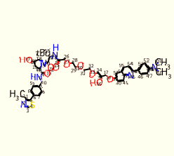 Cc1ncsc1-c1ccc(CNC(=O)[C@@H]2C[C@@H](O)CN2C(=O)C(NC(=O)COCCOCCOCC(O)COc2ccc3nc(-c4ccc(N(C)C)cc4)ccc3c2)C(C)(C)C)cc1